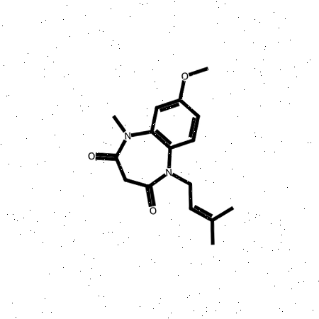 COc1ccc2c(c1)N(C)C(=O)CC(=O)N2CC=C(C)C